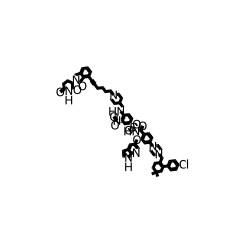 CC1(C)CCC(CN2CCN(c3ccc(C(=O)NS(=O)(=O)c4ccc(NCC5CCN(CCCCC#Cc6cccc7c6C(=O)N(C6CCC(=O)NC6=O)C7)CC5)c([N+](=O)[O-])c4)c(Oc4cnc5[nH]ccc5c4)c3)CC2)=C(c2ccc(Cl)cc2)C1